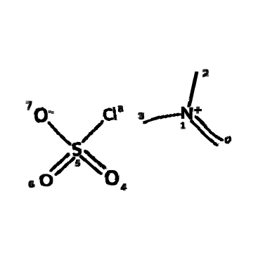 C=[N+](C)C.O=S(=O)([O-])Cl